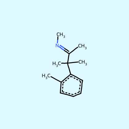 C/N=C(\C)C(C)(C)c1ccccc1C